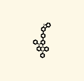 c1ccc(N2c3ccccc3B3c4ccc(-c5ccc(-c6ccc7sc8ccccc8c7c6)cc5)cc4N(c4ccccc4)c4cccc2c43)cc1